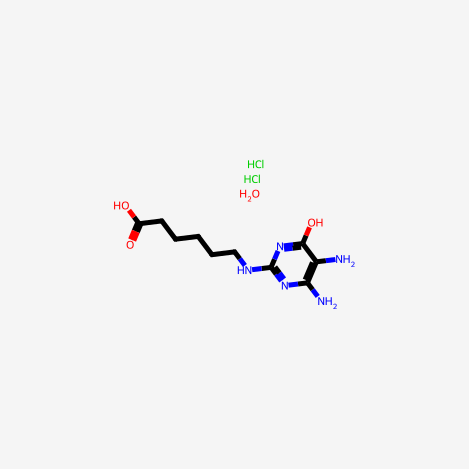 Cl.Cl.Nc1nc(NCCCCCC(=O)O)nc(O)c1N.O